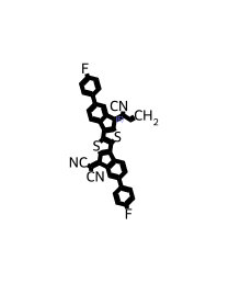 C=C/C(C#N)=C1/c2cc(-c3ccc(F)cc3)ccc2-c2c1sc1c3c(sc21)C(=C(C#N)C#N)c1cc(-c2ccc(F)cc2)ccc1-3